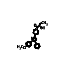 CCN(O)C(=O)N1CCC(c2cc(-c3ccccc3)n(-c3ccc(OC)cc3)n2)CC1